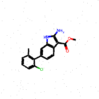 COC(=O)c1c(N)[nH]c2cc(-c3c(C)cccc3Cl)ccc12